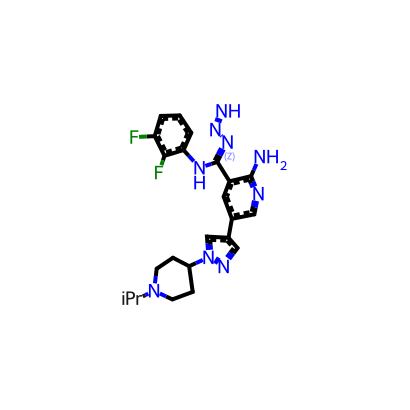 CC(C)N1CCC(n2cc(-c3cnc(N)c(/C(=N/N=N)Nc4cccc(F)c4F)c3)cn2)CC1